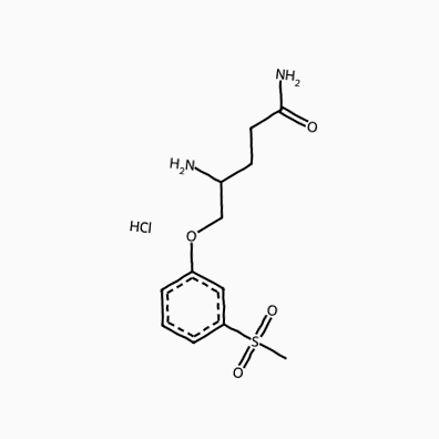 CS(=O)(=O)c1cccc(OCC(N)CCC(N)=O)c1.Cl